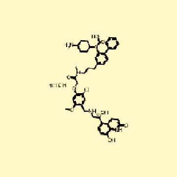 COc1cc(OCC(=O)N(C)CCCc2ccc(-c3ccccc3)c(N(C(=O)O)C3CCC(N)CC3)c2)c(Cl)cc1CNC[C@@H](O)c1ccc(O)c2[nH]c(=O)ccc12.Cl.Cl